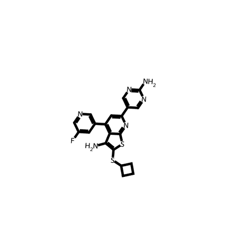 Nc1ncc(-c2cc(-c3cncc(F)c3)c3c(N)c(SC4CCC4)sc3n2)cn1